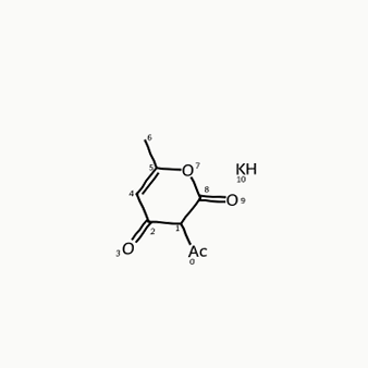 CC(=O)C1C(=O)C=C(C)OC1=O.[KH]